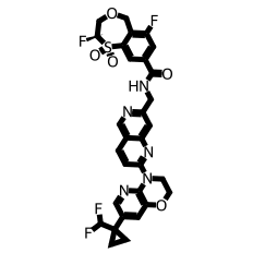 O=C(NCc1cc2nc(N3CCOc4cc(C5(C(F)F)CC5)cnc43)ccc2cn1)c1cc(F)c2c(c1)S(=O)(=O)[C@@H](F)COC2